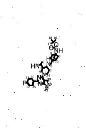 CC(=N)C1=C(NCC23CCC(NC(=O)OC(C)(C)C)(CC2)CC3)CCN(c2nc(-c3ccc(F)cc3)nc3c2cnn3C)C1